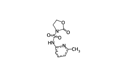 Cc1cccc(NS(=O)(=O)N2CCOC2=O)n1